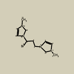 CN1C=CN(CCC(Br)N2C=CN(C)C2)C1